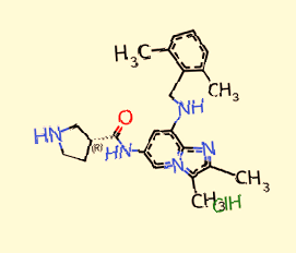 Cc1cccc(C)c1CNc1cc(NC(=O)[C@@H]2CCNC2)cn2c(C)c(C)nc12.Cl